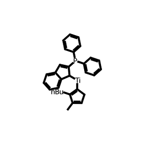 CCCCC1=[C]([Ti][CH]2C(P(c3ccccc3)c3ccccc3)=Cc3ccccc32)CC=C1C